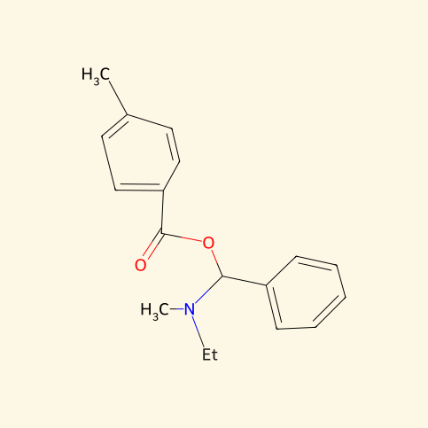 CCN(C)C(OC(=O)c1ccc(C)cc1)c1ccccc1